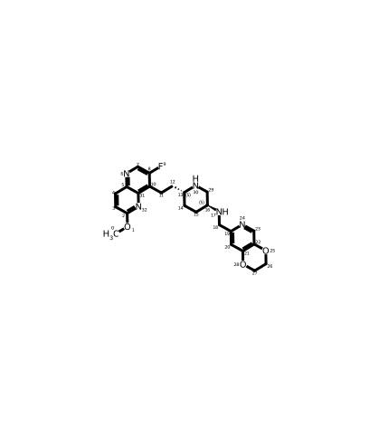 COc1ccc2ncc(F)c(CC[C@H]3CC[C@H](NCc4cc5c(cn4)OCCO5)CN3)c2n1